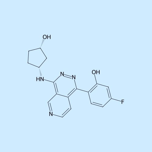 Oc1cc(F)ccc1-c1nnc(N[C@@H]2CC[C@H](O)C2)c2cnccc12